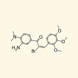 COc1ccc(/C=C(/Br)C(=O)c2ccc(N(C)C)c(N)c2)c(OC)c1OC